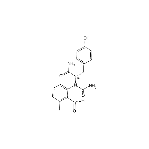 Cc1cccc(N(C(N)=O)[C@@H](Cc2ccc(O)cc2)C(N)=O)c1C(=O)O